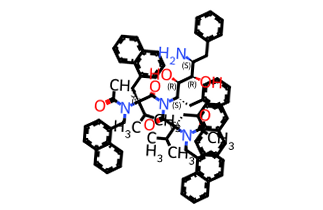 CC(=O)N(Cc1cccc2ccccc12)[C@](Cc1cccc2ccccc12)(C(=O)N(C(=O)[C@](Cc1cccc2ccccc12)(C(C)C)N(Cc1cccc2ccccc12)C(C)=O)[C@@H](Cc1ccccc1)[C@@H](O)[C@H](O)[C@@H](N)Cc1ccccc1)C(C)C